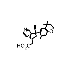 C#CC(CCCC(=O)O)(c1cnccn1)c1cc2c(cc1C)OCCC2(C)C